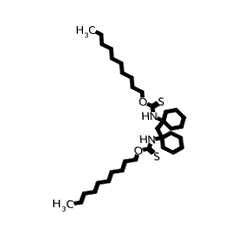 CCCCCCCCCCOC(=S)NC1(CC2(NC(=S)OCCCCCCCCCC)CCCCC2)CCCCC1